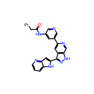 CC(C)CC(=O)Nc1cncc(-c2cc3c(-c4cc5ncccc5[nH]4)n[nH]c3cn2)c1